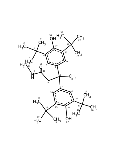 CC(C)(C)c1cc(C(C)(CC(=O)NN)c2cc(C(C)(C)C)c(O)c(C(C)(C)C)c2)cc(C(C)(C)C)c1O